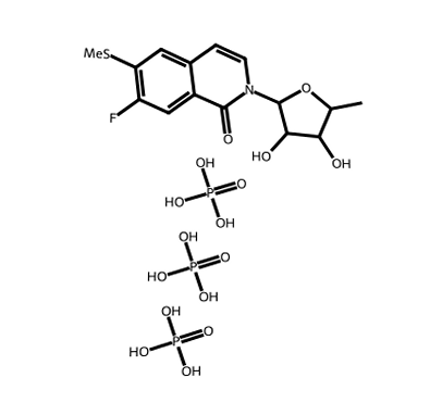 CSc1cc2ccn(C3OC(C)C(O)C3O)c(=O)c2cc1F.O=P(O)(O)O.O=P(O)(O)O.O=P(O)(O)O